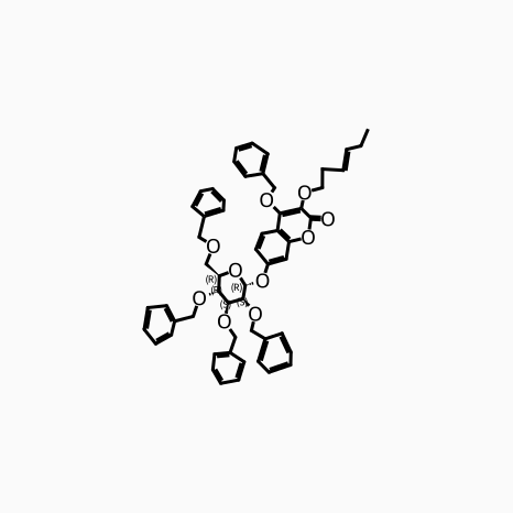 CCC=CCCOc1c(OCc2ccccc2)c2ccc(O[C@H]3O[C@H](COCc4ccccc4)[C@@H](OCc4ccccc4)[C@H](OCc4ccccc4)[C@@H]3OCc3ccccc3)cc2oc1=O